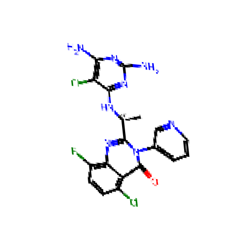 C[C@H](Nc1nc(N)nc(N)c1Cl)c1nc2c(F)ccc(Cl)c2c(=O)n1-c1cccnc1